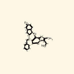 Cc1nc2c(O[C@@H]3c4ccc(F)cc4C[C@H]3OCc3ccccc3)cccn2c1CO